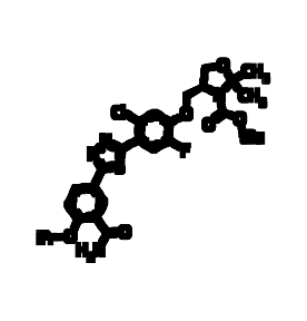 CC(C)Oc1ccc(-c2nnc(-c3cc(F)c(OC[C@H]4COC(C)(C)N4C(=O)OC(C)(C)C)cc3Cl)s2)cc1C(N)=O